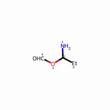 CCC(N)OC=O